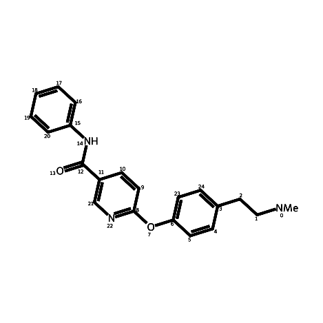 CNCCc1ccc(Oc2ccc(C(=O)Nc3ccccc3)cn2)cc1